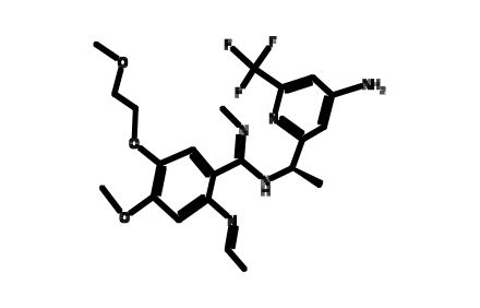 C/C=N/c1cc(OC)c(OCCOC)cc1/C(=N\C)N[C@H](C)c1cc(N)cc(C(F)(F)F)n1